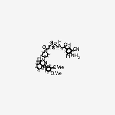 COc1ccc(C2=NN(C3CCN(C(=O)CCS(=O)(=O)CCNCC(O)c4cc(Cl)c(N)c(C#N)c4)CC3)C(=O)[C@@H]3CC=CC[C@H]23)cc1OC